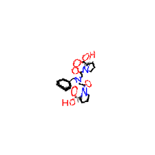 O=C(O)[C@H]1CCCN1C(=O)CN(CC(=O)N1CCC[C@@H]1C(=O)O)Cc1ccccc1